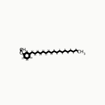 CCCCCCCCCCCCCCCCCCc1cc[c]c(OC)c1